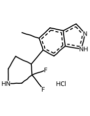 Cc1cc2cn[nH]c2cc1C1CCNCC1(F)F.Cl